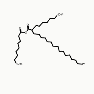 CCCCCCCCCCCCCCCCCC(=O)OC(=O)C(CCCCCCCCCCCCCCCC)CCCCCCCCCCCCCCCC(C)C